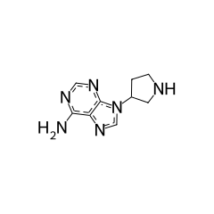 Nc1ncnc2c1ncn2C1CCNC1